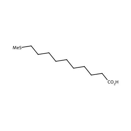 CSCCCCCCCCCC(=O)O